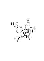 CC(C)[C@@H]1CC[C@@H](C)CC1(O[PH](=O)O)C(CO)CO